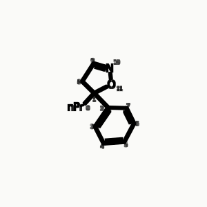 CCCC1(c2ccccc2)C[C]=NO1